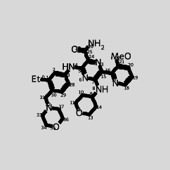 CCc1cc(Nc2nc(NC3CCOCC3)c(-c3ncccc3OC)nc2C(N)=O)ccc1CN1CCOCC1